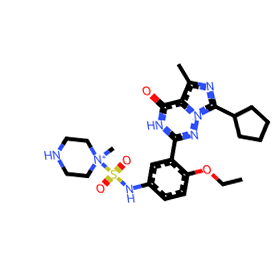 CCOc1ccc(NS(=O)(=O)[N+]2(C)CCNCC2)cc1-c1nn2c(C3CCCC3)nc(C)c2c(=O)[nH]1